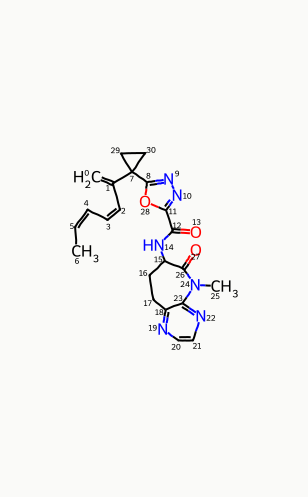 C=C(/C=C\C=C/C)C1(c2nnc(C(=O)NC3CCc4nccnc4N(C)C3=O)o2)CC1